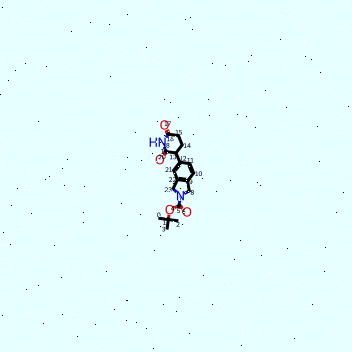 CC(C)(C)OC(=O)N1Cc2ccc(C3CCC(=O)NC3=O)cc2C1